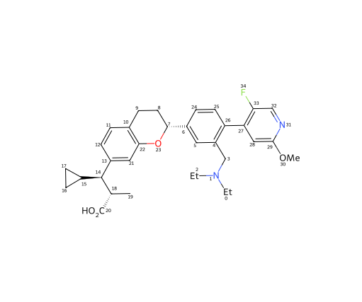 CCN(CC)Cc1cc([C@H]2CCc3ccc([C@H](C4CC4)[C@H](C)C(=O)O)cc3O2)ccc1-c1cc(OC)ncc1F